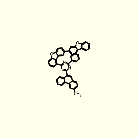 Cc1ccc2cc(-c3nc(-c4ccccc4)nc(-c4cccc5oc6ccc(-c7ccc8c(c7)oc7ccccc78)cc6c45)n3)c3ccccc3c2c1